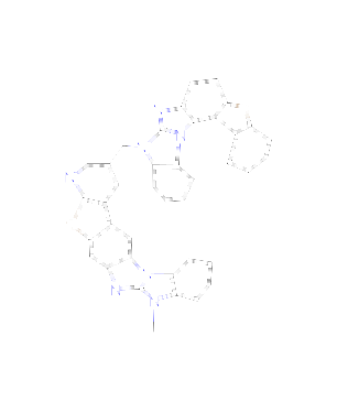 Cn1c2ccccc2n2c3cc4c(cc3nc12)sc1ncc(Cn2c3ccccc3n3c5c(ccc6sc7ccccc7c65)nc23)cc14